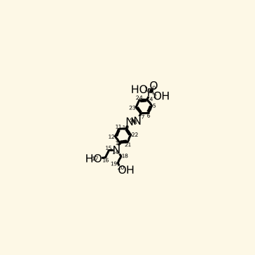 O=P(O)(O)c1ccc(N=Nc2ccc(N(CCO)CCO)cc2)cc1